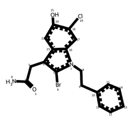 NC(=O)Cc1c(Br)n(CCc2ccccc2)c2cc(Cl)c(O)cc12